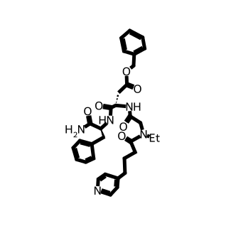 CCN(CC(=O)N[C@@H](CC(=O)OCc1ccccc1)C(=O)N[C@@H](Cc1ccccc1)C(N)=O)C(=O)CCCc1ccncc1